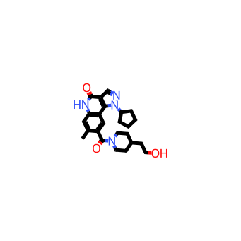 Cc1cc2[nH]c(=O)c3cnn(C4CCCC4)c3c2cc1C(=O)N1CCC(CCO)CC1